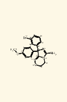 NC1=NC(c2ccc(OC(F)(F)F)cc2)(c2cccc(Br)c2)C2=NOCCN12